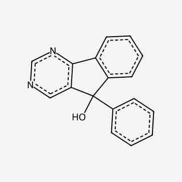 OC1(c2ccccc2)c2ccccc2-c2ncncc21